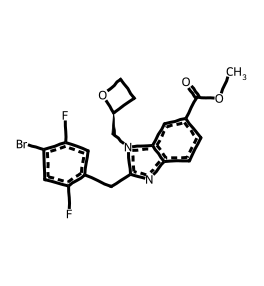 COC(=O)c1ccc2nc(Cc3cc(F)c(Br)cc3F)n(C[C@@H]3CCO3)c2c1